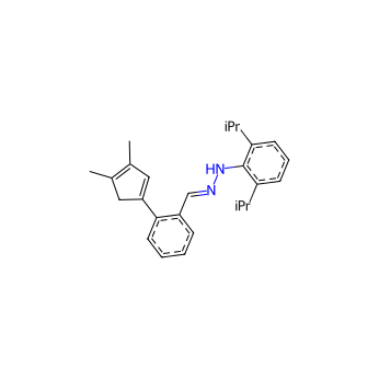 CC1=C(C)CC(c2ccccc2/C=N/Nc2c(C(C)C)cccc2C(C)C)=C1